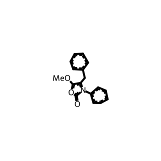 COc1oc(=O)n(-c2ccccc2)c1Cc1ccccc1